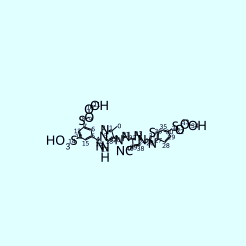 Cc1nn2c(-c3cc(SOOO)cc(S(=O)(=O)O)c3)n[nH]c2c1/N=N/c1nn(-c2nc3ccc(SOOO)cc3s2)cc1C#N